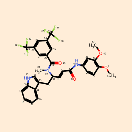 COc1ccc(NC(=O)C=CC(Cc2c[nH]c3ccccc23)N(C)C(=O)c2cc(C(F)(F)F)cc(C(F)(F)F)c2)cc1OC